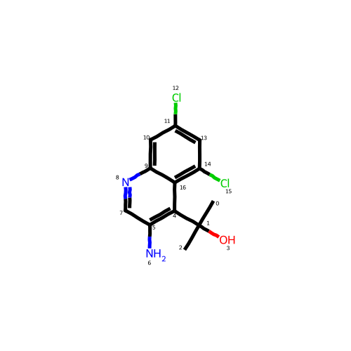 CC(C)(O)c1c(N)cnc2cc(Cl)cc(Cl)c12